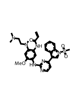 C=CC(=O)Nc1cc(Nc2nccc(-c3cn(S(C)(=O)=O)c4ccccc34)n2)c(OC)cc1N(C)CCN(C)C